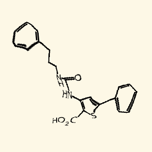 O=C(NCCCc1ccccc1)Nc1cc(-c2ccccc2)sc1C(=O)O